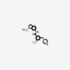 CN1CCN(Cc2cc(C(=O)Nc3ccc4c(c3)N(C(=O)O)CC4)cc(C(F)(F)F)c2)CC1